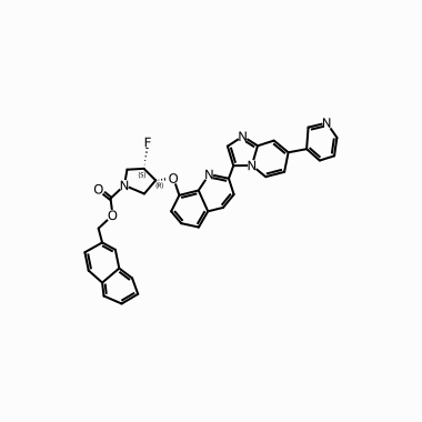 O=C(OCc1ccc2ccccc2c1)N1C[C@H](F)[C@H](Oc2cccc3ccc(-c4cnc5cc(-c6cccnc6)ccn45)nc23)C1